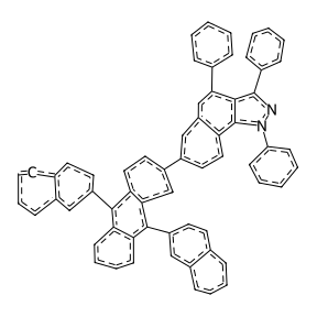 c1ccc(-c2cc3cc(-c4ccc5c(-c6ccc7ccccc7c6)c6ccccc6c(-c6ccc7ccccc7c6)c5c4)ccc3c3c2c(-c2ccccc2)nn3-c2ccccc2)cc1